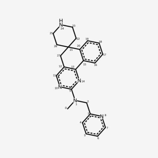 CN(Cc1ccccn1)c1ncc2c(n1)-c1ccccc1C1(CCNCC1)C2